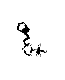 ClC(Cl)(Cl)c1ncnc(C=Cc2ccoc2)n1